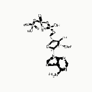 CC(C)(C)P(=O)(O)OP(=O)(O)OP(=O)(O)OC[C@H]1O[C@@H](n2cnc3c(N)ncnc32)[C@@H](O)C1O